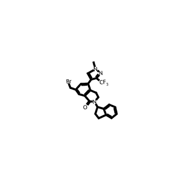 Cn1cc(-c2cc(CBr)cc3c2CCN(C2CCc4ccccc42)C3=O)c(C(F)(F)F)n1